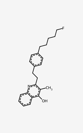 Cc1c(CCc2ccc(CCCCCF)cc2)nc2ccccc2c1O